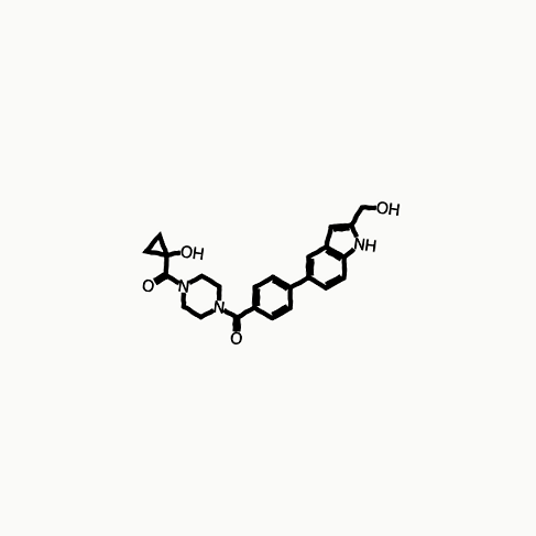 O=C(c1ccc(-c2ccc3[nH]c(CO)cc3c2)cc1)N1CCN(C(=O)C2(O)CC2)CC1